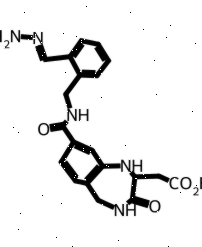 NN=Cc1ccccc1CNC(=O)c1ccc2c(c1)NC(CC(=O)O)C(=O)NC2